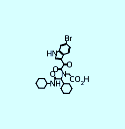 O=C(O)CN(C(=O)C(=O)c1c[nH]c2cc(Br)ccc12)C(C(=O)NC1CCCCC1)C1CCCCC1